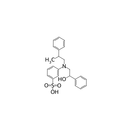 CC(CN(CC(O)c1ccccc1)c1cccc(S(=O)(=O)O)c1)c1ccccc1